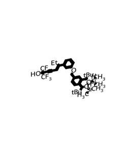 CCC(=CC#CC(O)(C(F)(F)F)C(F)(F)F)c1cccc(OCc2ccc(C(O[SiH](C)C)C(C)(C)C)c(C(O[SiH](C)C)C(C)(C)C)c2)c1